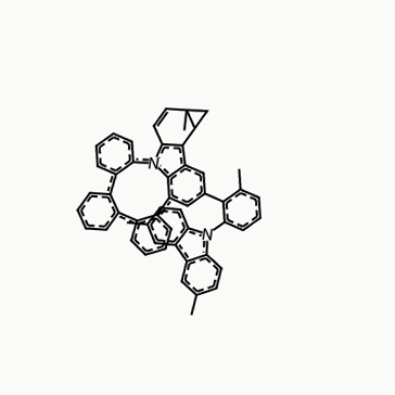 Cc1ccc2c(c1)c1cc(C)ccc1n2-c1cccc(C)c1-c1cc2c3c(n4c5ccccc5c5ccccc5c5ccccc5c(c1)c24)C=CC1(C)CC31